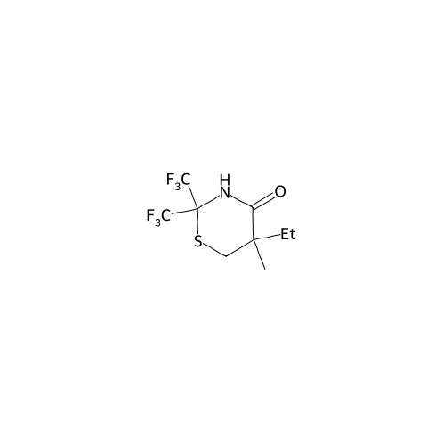 CCC1(C)CSC(C(F)(F)F)(C(F)(F)F)NC1=O